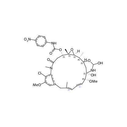 COc1cc2cc(c1Cl)N(C)C(=O)C[C@H](OC(=O)Nc1ccc([N+](=O)[O-])cc1)[C@]1(C)O[C@H]1[C@H](C)[C@@H]1C[C@@](O)(NC(O)O1)[C@H](OC)/C=C/C=C(\C)C2